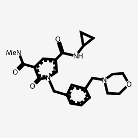 CNC(=O)c1cc(C(=O)NC2CC2)cn(Cc2cccc(CN3CCOCC3)c2)c1=O